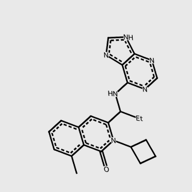 CCC(Nc1ncnc2[nH]cnc12)c1cc2cccc(C)c2c(=O)n1C1CCC1